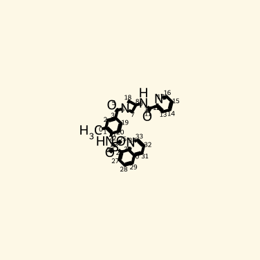 Cc1cc(C(=O)N2CC(NC(=O)c3ccccn3)C2)ccc1NS(=O)(=O)c1cccc2cccnc12